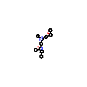 C1=c2oc3c(-c4ccc(-c5cc(-c6ccc(-c7cccc8c7oc7ccccc78)cc6)nc(-c6ccccc6)n5)cc4)nc4ccc(-c5ccccc5)cc4c3c2=CCC1